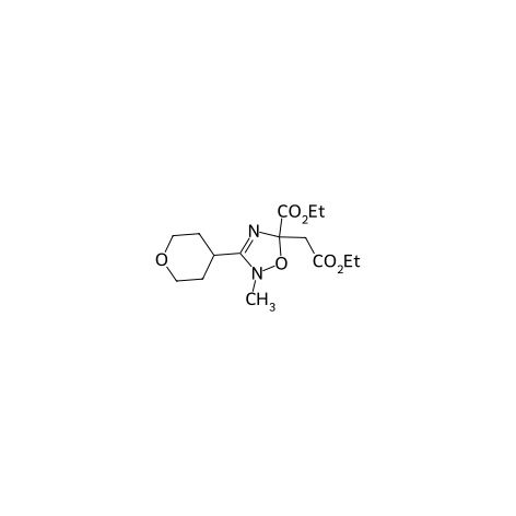 CCOC(=O)CC1(C(=O)OCC)N=C(C2CCOCC2)N(C)O1